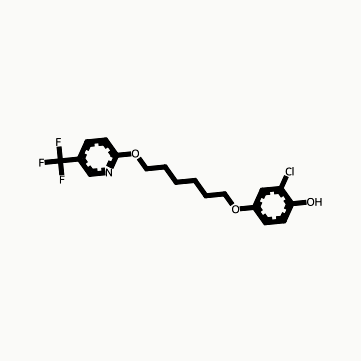 Oc1ccc(OCCCCCCOc2ccc(C(F)(F)F)cn2)cc1Cl